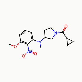 COc1cccc(N(C)C2CCN(C(=O)C3CC3)C2)c1[N+](=O)[O-]